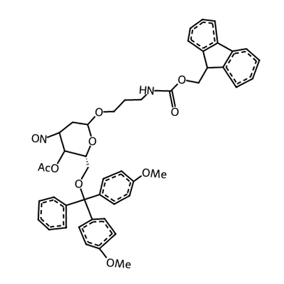 COc1ccc(C(OC[C@H]2OC(OCCCNC(=O)OCC3c4ccccc4-c4ccccc43)CC(N=O)C2OC(C)=O)(c2ccccc2)c2ccc(OC)cc2)cc1